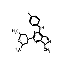 CC1CN(c2nc(Nc3ccc(I)cc3)c3cnn(C)c3n2)CC(C)O1